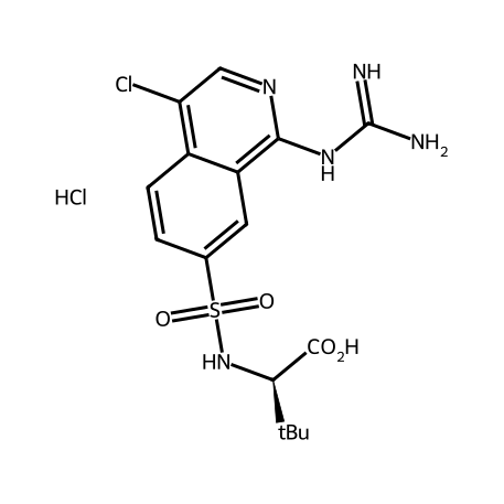 CC(C)(C)[C@@H](NS(=O)(=O)c1ccc2c(Cl)cnc(NC(=N)N)c2c1)C(=O)O.Cl